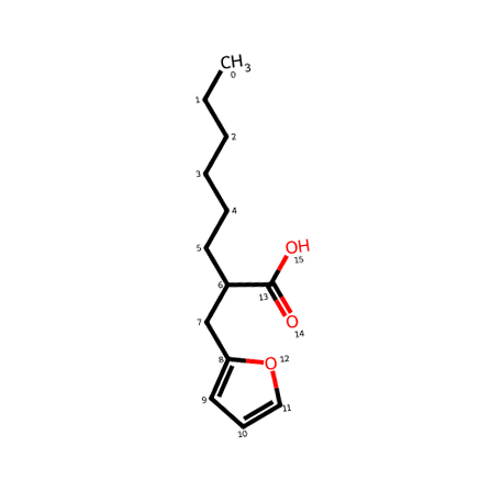 CCCCCCC(Cc1ccco1)C(=O)O